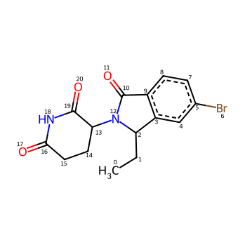 CCC1c2cc(Br)ccc2C(=O)N1C1CCC(=O)NC1=O